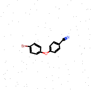 N#Cc1ccc(Oc2c[c]c(Br)cc2)cc1